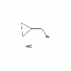 BrCC1CC1.Cl